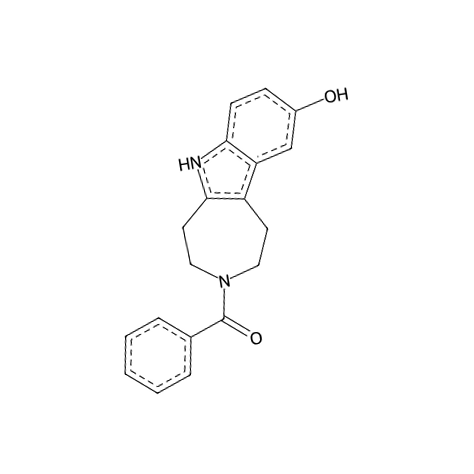 O=C(c1ccccc1)N1CCc2[nH]c3ccc(O)cc3c2CC1